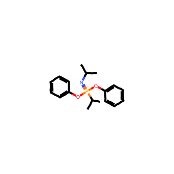 CC(C)N=P(Oc1ccccc1)(Oc1ccccc1)C(C)C